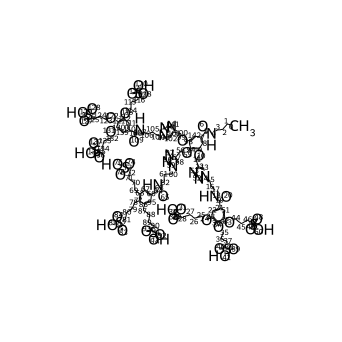 CCCCNC(=O)c1cc(OCc2cn(CCCNC(=O)c3cc(OCCCCS(=O)(=O)O)c(OCCCS(=O)(=O)O)c(OCCCS(=O)(=O)O)c3)nn2)c(OCc2cn(CCCNC(=O)c3cc(CCCCS(=O)(=O)O)c(CCCCS(=O)(=O)O)c(CCCCS(=O)(=O)O)c3)nn2)c(OCc2cn(CCCNC(=O)c3cc(OCCCS(=O)(=O)O)c(OCCCS(=O)(=O)O)c(OCCCS(=O)(=O)O)c3)nn2)c1